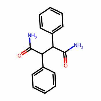 NC(=O)C(c1ccccc1)C(C(N)=O)c1ccccc1